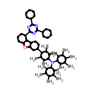 Bc1c(B)c(B)c(N(c2c(B)c(B)c(B)c(B)c2B)c2c(B)c(B)c(-c3ccc4c(c3)oc3cccc(-c5nc(-c6ccccc6)nc(-c6ccccc6)n5)c34)c(B)c2B)c(B)c1B